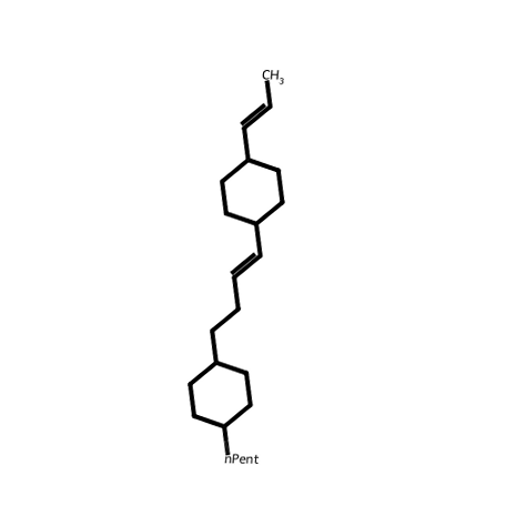 CC=CC1CCC(C=CCCC2CCC(CCCCC)CC2)CC1